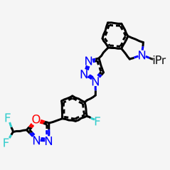 CC(C)N1Cc2cccc(-c3cn(Cc4ccc(-c5nnc(C(F)F)o5)cc4F)nn3)c2C1